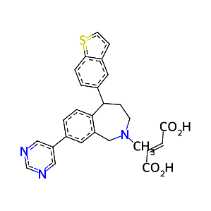 CN1CCC(c2ccc3sccc3c2)c2ccc(-c3cncnc3)cc2C1.O=C(O)C=CC(=O)O